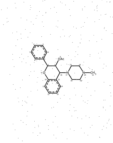 CC(=O)OC1C(c2ccccc2)Oc2ccccc2C1N1CCN(C)CC1